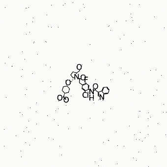 COCC1CC[C@@H](CO[C@H]2CC[C@H](C(=O)OC)CC2)N1C(=O)Cc1cc(Cl)c(NC(=O)c2cn(C)c3ccccc23)cc1F